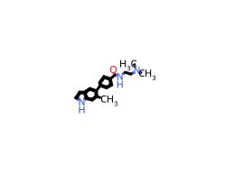 Cc1cc2[nH]ccc2cc1-c1ccc(C(=O)NCCN(C)C)cc1